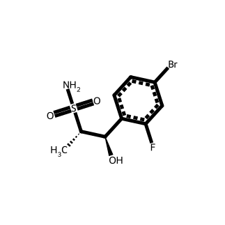 C[C@@H]([C@H](O)c1ccc(Br)cc1F)S(N)(=O)=O